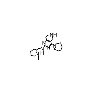 C1CCCN(c2nc(NCC3CCCCN3)nc3c2CNCC3)CC1